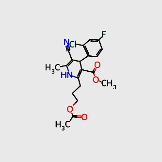 COC(=O)C1=C(CCCOC(C)=O)NC(C)=C(C#N)C1c1ccc(F)cc1Cl